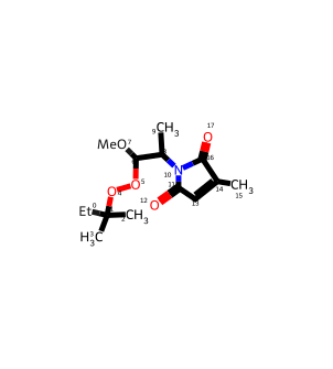 CCC(C)(C)OOC(OC)C(C)N1C(=O)C=C(C)C1=O